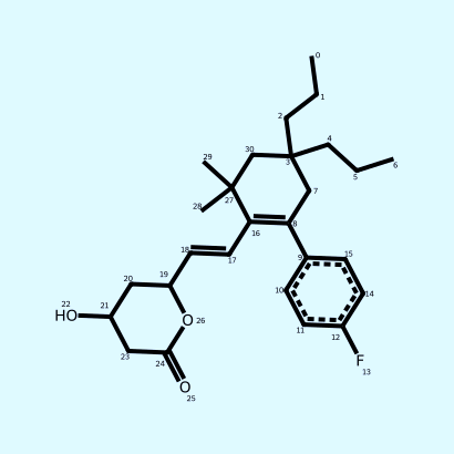 CCCC1(CCC)CC(c2ccc(F)cc2)=C(C=CC2CC(O)CC(=O)O2)C(C)(C)C1